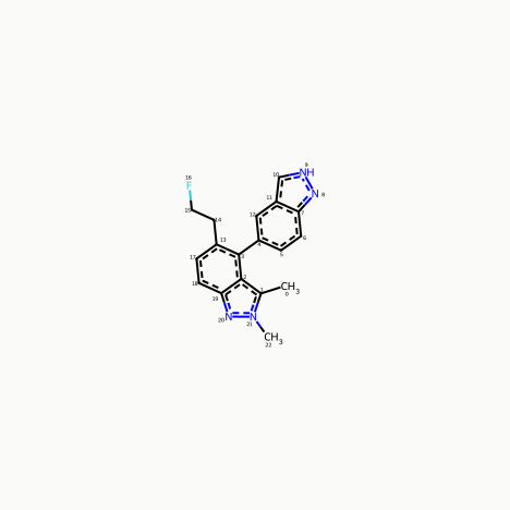 Cc1c2c(-c3ccc4n[nH]cc4c3)c(CCF)ccc2nn1C